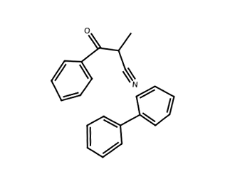 CC(C#N)C(=O)c1ccccc1.c1ccc(-c2ccccc2)cc1